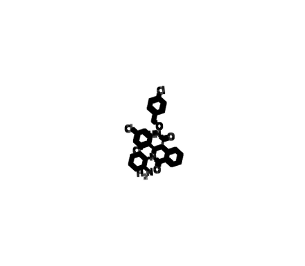 N[C@H]1CCCC[C@@H]1N1C(=O)c2ccccc2[C@@H](C(=O)NOCc2ccc(Cl)cc2)[C@@H]1c1ccc(Cl)cc1Cl